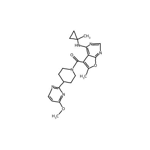 COc1ccnc(C2CCN(C(=O)c3c(C)oc4ncnc(NC5(C)CC5)c34)CC2)n1